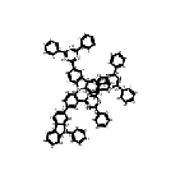 c1ccc(-c2nc(-c3ccccc3)nc(-c3ccc4c(c3)c3cc(-c5nc(-c6ccccc6)nc(-c6ccccc6)n5)ccc3n4-c3ccc(-c4ccc5c6ccccc6n(-c6ccccc6)c5c4)cc3-c3nc(-c4ccccc4)nc(-c4ccccc4)n3)n2)cc1